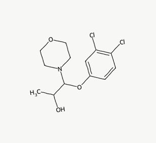 CC(O)C(Oc1ccc(Cl)c(Cl)c1)N1CCOCC1